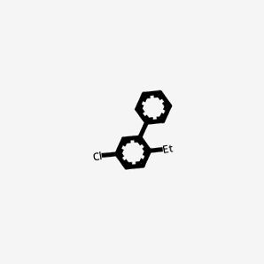 CCc1ccc(Cl)cc1-c1ccccc1